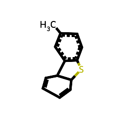 Cc1ccc2c(c1)C1C=CC=CC1S2